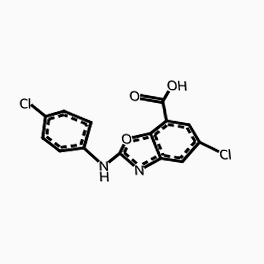 O=C(O)c1cc(Cl)cc2nc(Nc3ccc(Cl)cc3)oc12